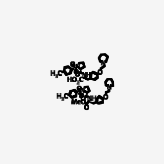 COC(=O)[C@H](Cc1ccc(OCCN2CCCCCC2)cc1)NC(=O)[C@@H]1CCCN1S(=O)(=O)c1ccc(C)cc1.Cc1ccc(S(=O)(=O)N2CCC[C@H]2C(=O)N[C@@H](Cc2ccc(OCCN3CCCCCC3)cc2)C(=O)O)cc1